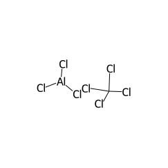 ClC(Cl)(Cl)Cl.[Cl][Al]([Cl])[Cl]